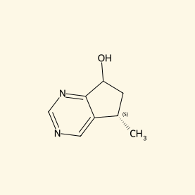 C[C@H]1CC(O)c2ncncc21